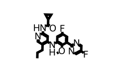 CCCc1cnc(NC(=O)C2CC2)cc1Nc1cc(F)cc(-c2ncc(F)cn2)c1OC